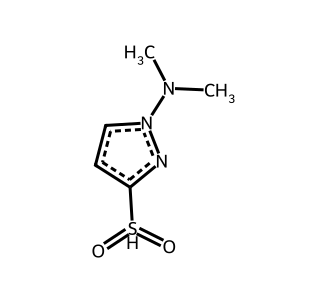 CN(C)n1ccc([SH](=O)=O)n1